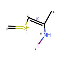 C=[SH]/C=C(/C)NI